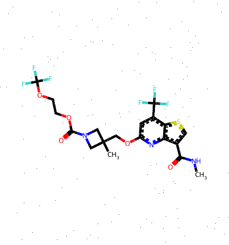 CNC(=O)c1csc2c(C(F)(F)F)cc(OCC3(C)CN(C(=O)OCCOC(F)(F)F)C3)nc12